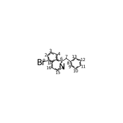 Brc1cccc2c(Cc3ccccc3)nccc12